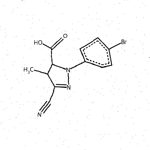 CC1C(C#N)=NN(c2ccc(Br)cc2)C1C(=O)O